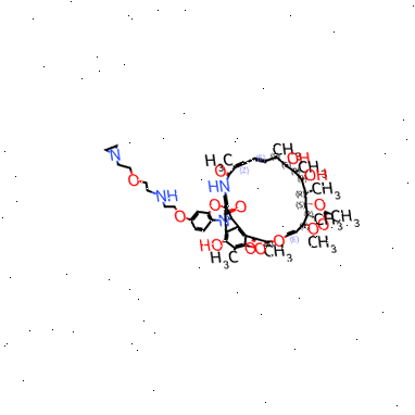 CO[C@H]1/C=C/O[C@@]2(C)Oc3c(C)c(O)c4c(=O)c(c5oc6cc(OCCNCCOCCN7CC7)ccc6nc-5c4c3C2=O)NC(=O)/C(C)=C\C=C\[C@H](C)[C@H](O)[C@@H](C)[C@@H](O)[C@@H](C)[C@H](OC(C)=O)[C@@H]1C